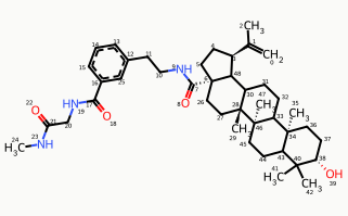 C=C(C)[C@@H]1CC[C@]2(C(=O)NCCc3cccc(C(=O)NCC(=O)NC)c3)CC[C@]3(C)C(CCC4[C@@]5(C)CC[C@H](O)C(C)(C)C5CC[C@]43C)C12